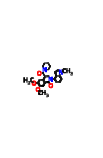 COc1cc2c(C(=O)N3CCCCC3)cn(-c3cccc4c3ccn4C)c(=O)c2cc1OC